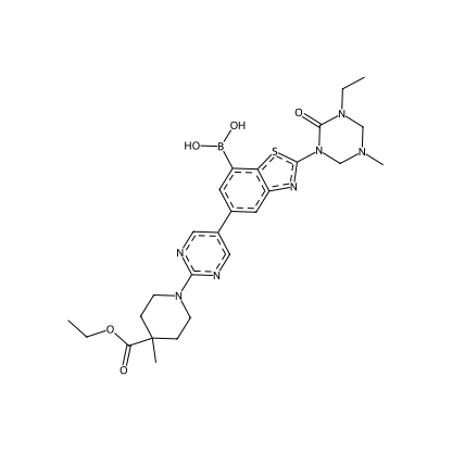 CCOC(=O)C1(C)CCN(c2ncc(-c3cc(B(O)O)c4sc(N5CN(C)CN(CC)C5=O)nc4c3)cn2)CC1